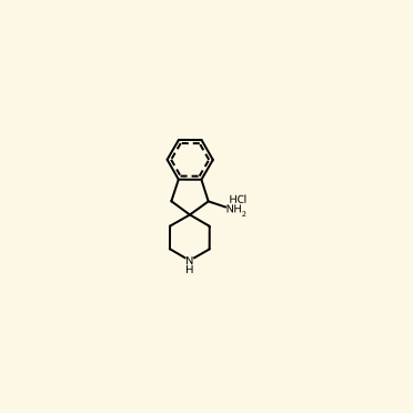 Cl.NC1c2ccccc2CC12CCNCC2